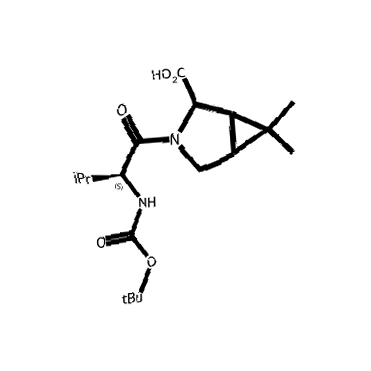 CC(C)[C@H](NC(=O)OC(C)(C)C)C(=O)N1CC2C(C1C(=O)O)C2(C)C